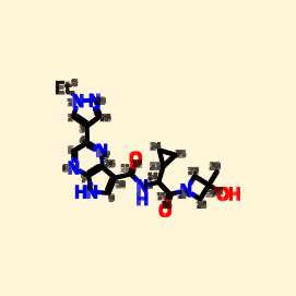 CCn1cc(-c2cnc3[nH]cc(C(=O)NC(C(=O)N4CC(C)(O)C4)C4CC4)c3n2)cn1